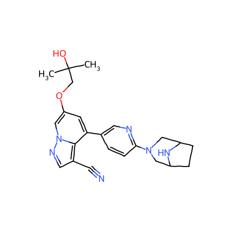 CC(C)(O)COc1cc(-c2ccc(N3CC4CCC(C3)N4)nc2)c2c(C#N)cnn2c1